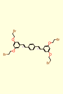 BrCCOc1cc(/C=C/c2ccc(/C=C/c3cc(OCCBr)cc(OCCBr)c3)cc2)cc(OCCBr)c1